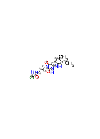 CCc1cc(Nc2cc(=O)n(CCCCNC(=O)CCl)c(=O)[nH]2)ccc1C